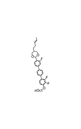 C/C=C/CCC1COC(c2ccc(-c3ccc(-c4ccc(OCCCCCCCC)c(F)c4F)cc3)cc2F)OC1